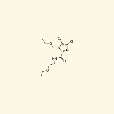 CCOCCNC(=O)c1nc(Cl)c(Cl)n1COCC